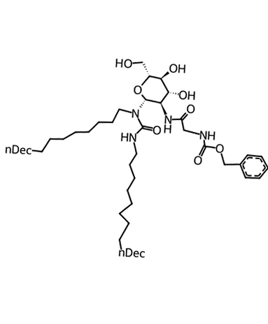 CCCCCCCCCCCCCCCCCCNC(=O)N(CCCCCCCCCCCCCCCCCC)[C@@H]1O[C@H](CO)[C@@H](O)[C@H](O)[C@H]1NC(=O)CNC(=O)OCc1ccccc1